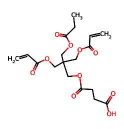 C=CC(=O)OCC(COC(=O)C=C)(COC(=O)CC)COC(=O)CCC(=O)O